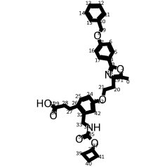 Cc1oc(-c2ccc(OCc3ccccc3)cc2)nc1CCOc1ccc(CCC(=O)O)c(CNC(=O)OC2CCC2)c1